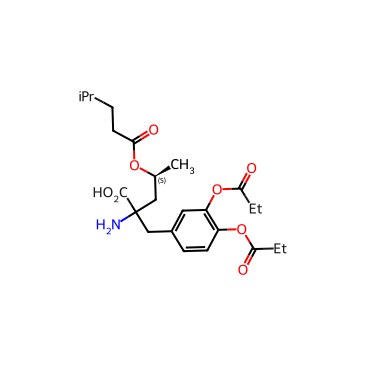 CCC(=O)Oc1ccc(CC(N)(C[C@H](C)OC(=O)CCC(C)C)C(=O)O)cc1OC(=O)CC